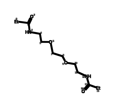 CCC(=O)NCCOCCOCCNC(=O)CC